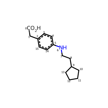 O=C(O)Cc1ccc(NCCC2CCCC2)cc1